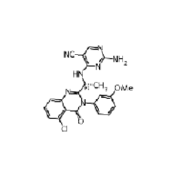 COc1cccc(-n2c([C@@H](C)Nc3nc(N)ncc3C#N)nc3cccc(Cl)c3c2=O)c1